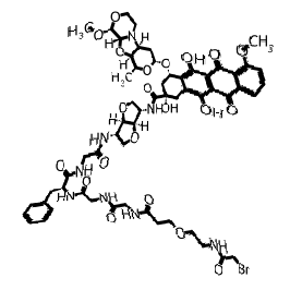 COc1cccc2c1C(=O)c1c(O)c3c(c(O)c1C2=O)C[C@@](O)(C(=O)N[C@H]1CO[C@H]2[C@@H]1OC[C@@H]2NC(=O)CNC(=O)[C@H](Cc1ccccc1)NC(=O)CNC(=O)CNC(=O)CCOCCNC(=O)CBr)C[C@@H]3O[C@H]1C[C@H]2[C@H](O[C@@H]3[C@@H](OC)OCCN32)[C@H](C)O1